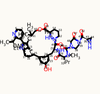 CCn1c(-c2cccnc2[C@H](C)OC)c2c3cc(ccc31)-c1cc(O)cc(c1)C[C@H](NC(=O)C(C(C)C)N(C)C(=O)N1CCN(C(=O)[C@H]3CN3)C(=O)C1)C(=O)N1CCC[C@H](N1)C(=O)OCC(C)(C)C2